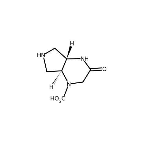 O=C1CN(C(=O)O)[C@H]2CNC[C@@H]2N1